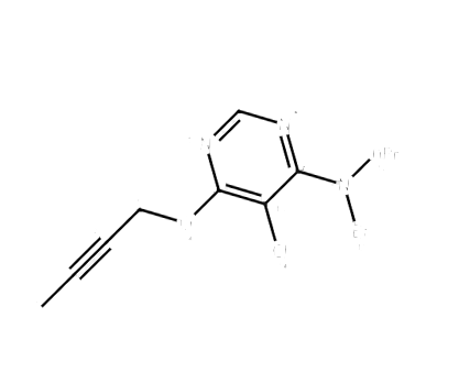 CC#CCOc1ncnc(N(CC)CCC)c1Cl